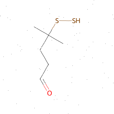 CC(C)(CCC=O)SS